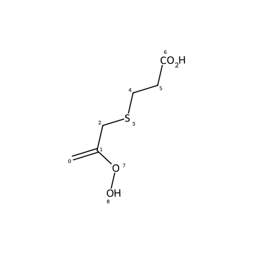 C=C(CSCCC(=O)O)OO